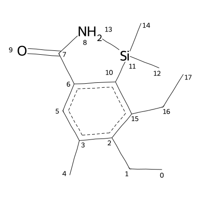 CCc1c(C)cc(C(N)=O)c([Si](C)(C)C)c1CC